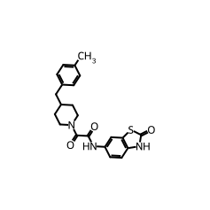 Cc1ccc(CC2CCN(C(=O)C(=O)Nc3ccc4[nH]c(=O)sc4c3)CC2)cc1